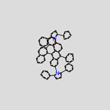 c1ccc(-c2ccc3ccccc3c2-c2c3ccc(-n4c(-c5ccccc5)ccc4-c4ccccc4)cc3c(-c3ccccc3)c3ccc(-n4c(-c5ccccc5)ccc4-c4ccccc4)cc23)cc1